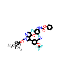 C[Si](C)(C)CCOCn1cc(-c2ccc(OC(F)(F)F)c(C#N)c2)c2c(Oc3c(F)cc(NC(=O)Oc4ccccc4)cc3F)ccnc21